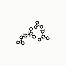 c1ccc(-c2cc(-c3cnc(-c4cccc(-n5c6ccccc6c6cc(-c7cccc(-c8nc(-c9ccccc9)nc(-c9cnc(-c%10cccc(-n%11c%12ccccc%12c%12ccccc%12%11)c%10)nc9)n8)c7)ccc65)c4)nc3)cc(-c3ccccc3)n2)cc1